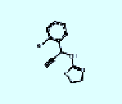 C#CC(NC1=NCCO1)c1ccccc1Br